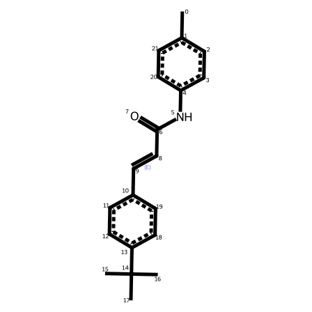 Cc1ccc(NC(=O)/C=C/c2ccc(C(C)(C)C)cc2)cc1